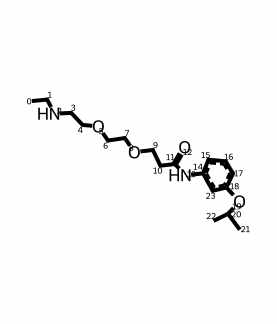 CCNCCOCCOCCC(=O)Nc1cccc(OC(C)C)c1